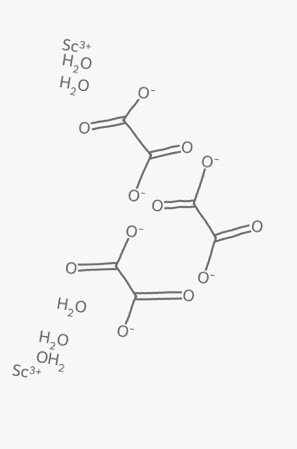 O.O.O.O.O.O=C([O-])C(=O)[O-].O=C([O-])C(=O)[O-].O=C([O-])C(=O)[O-].[Sc+3].[Sc+3]